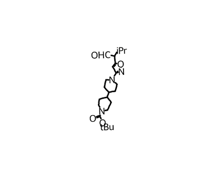 CC(C)C(C=O)c1cc(N2CCC(C3CCN(C(=O)OC(C)(C)C)CC3)CC2)no1